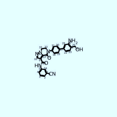 N#Cc1cccc(NC(=O)c2cnn3c2C(=O)N(c2ccc(-c4ccc(CO)c(N)c4)cc2)CC3)c1